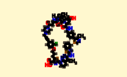 Cc1ncsc1-c1ccc(CNC(=O)[C@@H]2C[C@@H](O)CN2C(=O)C(NC(=O)CCC(=O)N2CCN(CC#Cc3ccc(OCCCc4sc(N5CCCc6c5nnc(Nc5nc7ccccc7s5)c6C)nc4C(=O)O)c(F)c3)CC2)C(C)(C)C)cc1